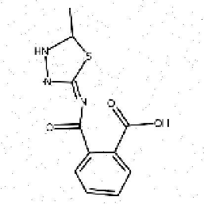 CC1N[N]C(=NC(=O)c2ccccc2C(=O)O)S1